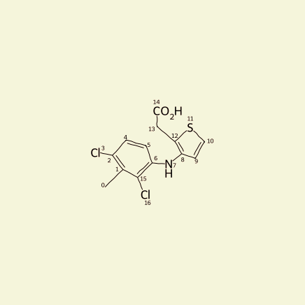 Cc1c(Cl)ccc(Nc2ccsc2CC(=O)O)c1Cl